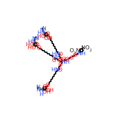 O=C(CCOCC(COCCC(=O)NCCCCCCCCCCCOC[C@H]1OC[C@@H](Nc2ncns2)[C@@H](O)[C@H]1O)(COCCC(=O)NCCCCCCCCCCCOC[C@H]1OC[C@@H](Nc2ncns2)[C@@H](O)[C@H]1O)NC(=O)COCCOCCOCCNc1ccc([N+](=O)[O-])cc1[N+](=O)[O-])NCCCCCCCCCCCOC[C@H]1OC[C@@H](Nc2ncns2)[C@@H](O)[C@H]1O